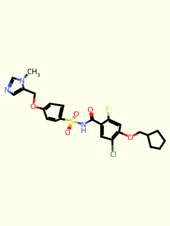 Cn1cncc1COc1ccc(S(=O)(=O)NC(=O)c2cc(Cl)c(OCC3CCCC3)cc2F)cc1